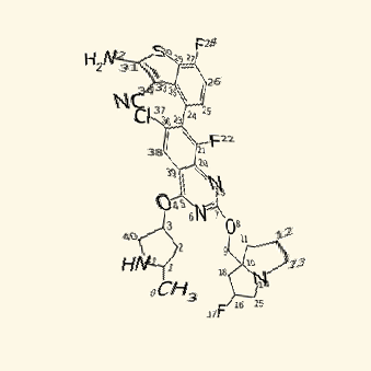 CC1CC(Oc2nc(OCC34CCCN3CC(F)C4)nc3c(F)c(-c4ccc(F)c5sc(N)c(C#N)c45)c(Cl)cc23)CN1